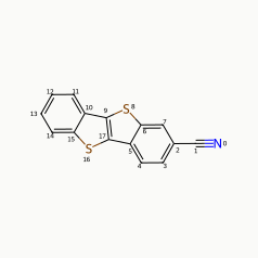 N#Cc1ccc2c(c1)sc1c3ccccc3sc21